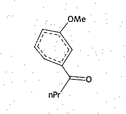 CCCC(=O)c1cccc(OC)c1